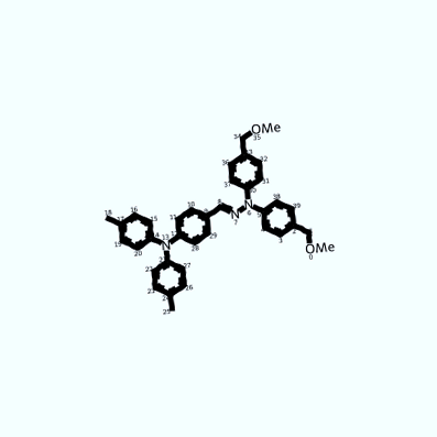 COCc1ccc(N(N=Cc2ccc(N(c3ccc(C)cc3)c3ccc(C)cc3)cc2)c2ccc(COC)cc2)cc1